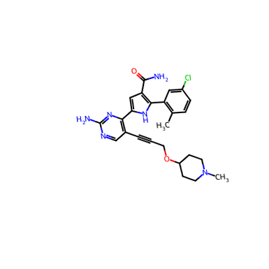 Cc1ccc(Cl)cc1-c1[nH]c(-c2nc(N)ncc2C#CCOC2CCN(C)CC2)cc1C(N)=O